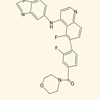 O=C(c1ccc(-c2ccc3nccc(Nc4ccc5scnc5c4)c3c2F)c(F)c1)N1CCOCC1